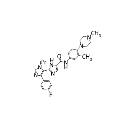 Cc1cc(NC(=O)c2cnc(-c3c(-c4ccc(F)cc4)ncn3C(C)C)[nH]2)ccc1N1CCN(C)CC1